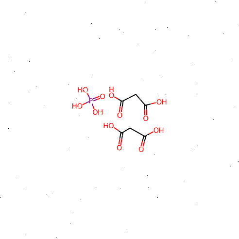 O=C(O)CC(=O)O.O=C(O)CC(=O)O.O=P(O)(O)O